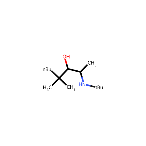 CCCCC(C)(C)C(O)C(C)NC(C)(C)C